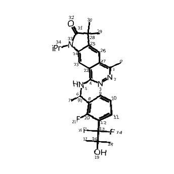 Cc1nnc(N[C@H](C)c2cccc(C(F)(F)C(C)(C)O)c2F)c2cc3c(cc12)C(C)(C)C(=O)N3C(C)C